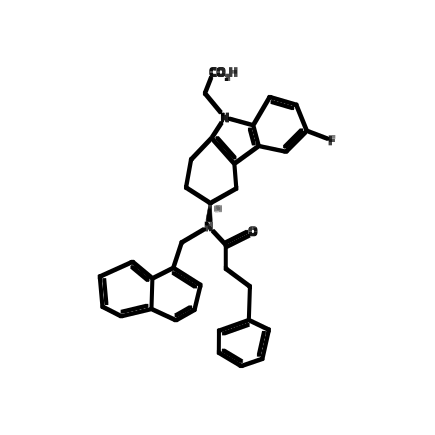 O=C(O)Cn1c2c(c3cc(F)ccc31)C[C@@H](N(Cc1cccc3ccccc13)C(=O)CCc1ccccc1)CC2